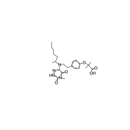 CCCCCC(C)N(CCc1ccc(OC(C)(C)C(=O)O)cc1)c1n[nH]c(=O)n(C)c1=O